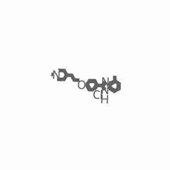 Cc1cccc2[nH]c(-c3ccc(OCCCC4CCN(C)CC4)cc3Cl)nc12